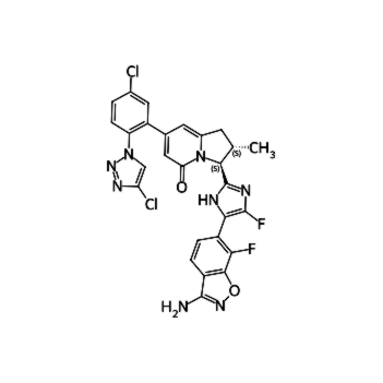 C[C@H]1Cc2cc(-c3cc(Cl)ccc3-n3cc(Cl)nn3)cc(=O)n2[C@@H]1c1nc(F)c(-c2ccc3c(N)noc3c2F)[nH]1